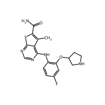 Cc1c(C(N)=O)sc2ncnc(Nc3ccc(F)cc3OC3CCNC3)c12